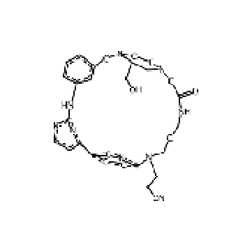 N#CCCN1CCCNC(=O)CN2CCN(Cc3cccc(c3)Nc3nccc(n3)-c3ccc1nc3)C(CO)C2